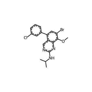 COc1c(Br)cc(-c2cccc(Cl)c2)c2cnc(NC(C)C)nc12